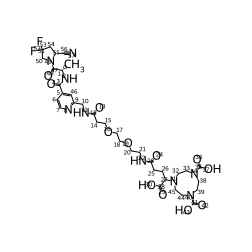 C[C@H](NC(=O)c1ccnc(CNC(=O)CCOCCOCCNC(=O)CCC(C(=O)O)N2CCN(C(=O)O)CCN(C(=O)O)CC2)c1)C(=O)N1CC(F)(F)C[C@H]1C#N